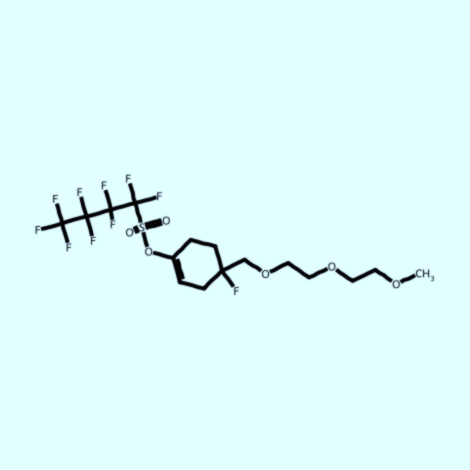 COCCOCCOCC1(F)CC=C(OS(=O)(=O)C(F)(F)C(F)(F)C(F)(F)C(F)(F)F)CC1